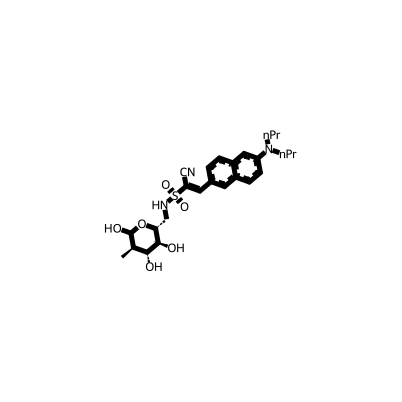 CCCN(CCC)c1ccc2cc(/C=C(\C#N)S(=O)(=O)NC[C@H]3OC(O)[C@H](C)[C@@H](O)[C@@H]3O)ccc2c1